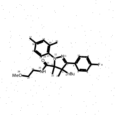 CCCCC1(C)C(c2ccc(F)cc2)=NN(c2ccc(C)cc2C)C1(C)C(=O)NCCOC